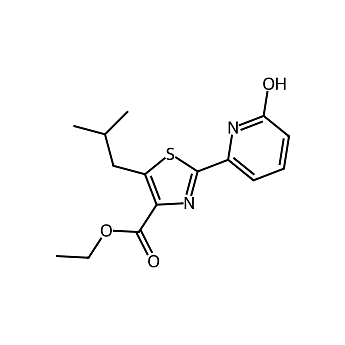 CCOC(=O)c1nc(-c2cccc(O)n2)sc1CC(C)C